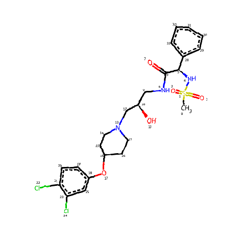 CS(=O)(=O)N[C@@H](C(=O)NC[C@@H](O)CN1CCC(Oc2ccc(Cl)c(Cl)c2)CC1)c1ccccc1